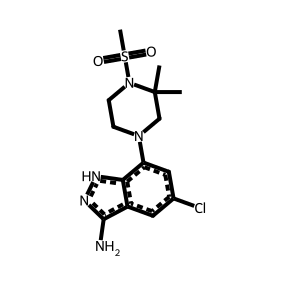 CC1(C)CN(c2cc(Cl)cc3c(N)n[nH]c23)CCN1S(C)(=O)=O